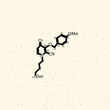 CCCCCCCCCCCCCCn1ccc(=O)c(OCc2ccc(OC)cc2)c1C#N